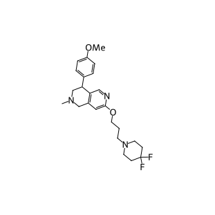 COc1ccc(C2CN(C)Cc3cc(OCCCN4CCC(F)(F)CC4)ncc32)cc1